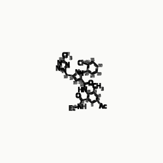 CCNC(=O)c1cc(C(C)=O)cc(C)c1NC(=O)c1cc(Cn2nnc(C(F)(F)F)n2)nn1-c1ccccc1Cl